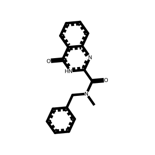 CN(Cc1ccccc1)C(=O)c1nc2ccccc2c(=O)[nH]1